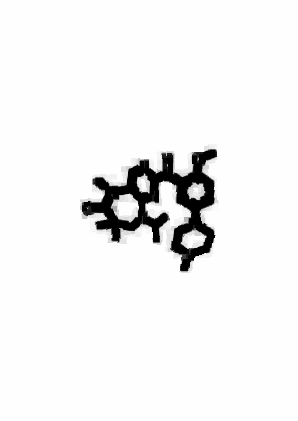 COc1ccc(N2CCN(C)CC2)cc1Nc1ncc2c(n1)N(C(C)C)CC(C)(C)C(=O)N2C